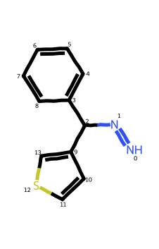 N=NC(c1ccccc1)c1ccsc1